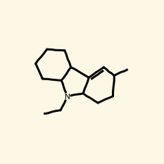 CCN1C2CCC(C)C=C2C2CCCCC21